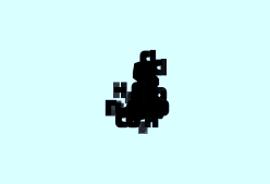 CCC(C(=O)O)c1ccc(C2(NC(=O)c3cc4c(Cl)c(Cl)ccc4n3C)CCOC2)cc1